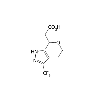 O=C(O)CC1OCCc2c(C(F)(F)F)n[nH]c21